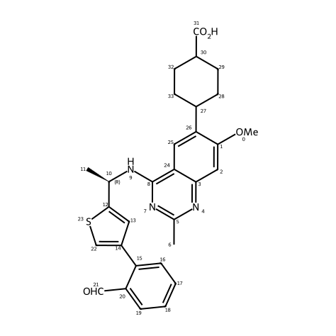 COc1cc2nc(C)nc(N[C@H](C)c3cc(-c4ccccc4C=O)cs3)c2cc1C1CCC(C(=O)O)CC1